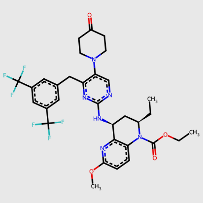 CCOC(=O)N1c2ccc(OC)nc2[C@@H](Nc2ncc(N3CCC(=O)CC3)c(Cc3cc(C(F)(F)F)cc(C(F)(F)F)c3)n2)C[C@H]1CC